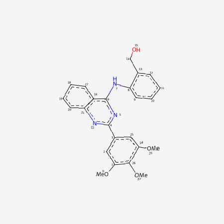 COc1cc(-c2nc(Nc3ccccc3CO)c3ccccc3n2)cc(OC)c1OC